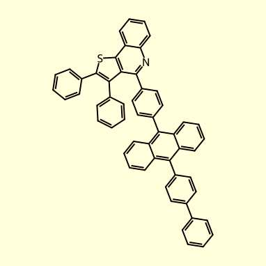 c1ccc(-c2ccc(-c3c4ccccc4c(-c4ccc(-c5nc6ccccc6c6sc(-c7ccccc7)c(-c7ccccc7)c56)cc4)c4ccccc34)cc2)cc1